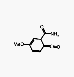 COC1=CC(C(N)=O)C(=C=O)C=C1